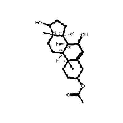 CC(=O)OC1CC[C@@]2(C)C(=CC(O)[C@@H]3[C@@H]2CC[C@]2(C)C(O)CC[C@@H]32)C1